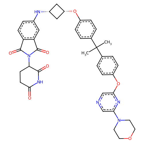 CC(C)(c1ccc(Oc2cncc(N3CCOCC3)n2)cc1)c1ccc(O[C@H]2C[C@@H](Nc3ccc4c(c3)C(=O)N(C3CCC(=O)NC3=O)C4=O)C2)cc1